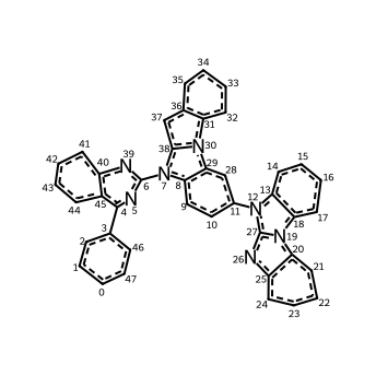 c1ccc(-c2nc(-n3c4ccc(-n5c6ccccc6n6c7ccccc7nc56)cc4n4c5ccccc5cc34)nc3ccccc23)cc1